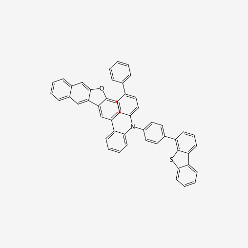 c1ccc(-c2ccc(N(c3ccc(-c4cccc5c4sc4ccccc45)cc3)c3ccccc3-c3ccc4oc5cc6ccccc6cc5c4c3)cc2)cc1